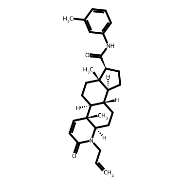 C=CCN1C(=O)C=C[C@]2(C)[C@H]3CC[C@]4(C)[C@@H](C(=O)Nc5cccc(C)c5)CC[C@H]4[C@@H]3CC[C@@H]12